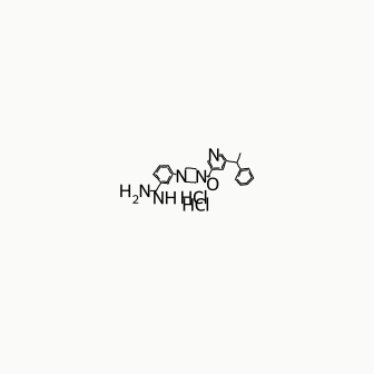 CC(c1ccccc1)c1cncc(C(=O)N2CCN(c3cccc(C(=N)N)c3)CC2)c1.Cl.Cl